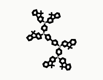 CC1(C)c2ccccc2-c2ccc(N(c3ccc(-c4ccc(N(c5ccc(N(c6ccc7c(c6)C(C)(C)c6ccccc6-7)c6ccc7c(c6)C(C)(C)c6ccccc6-7)cc5)c5ccc6c(c5)C(C)(C)c5ccccc5-6)cc4)cc3)c3ccc(N(c4ccc5c(c4)C(C)(C)c4ccccc4-5)c4ccc5c(c4)C(C)(C)c4ccccc4-5)cc3)cc21